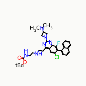 CN(C)C1CN(c2nc(CCNCCNC(=O)OC(C)(C)C)c3cc(Cl)c(-c4cccc5ccccc45)c(F)c3n2)C1